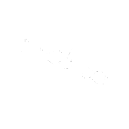 Cc1cn2nc(C3=C\C(=O)N4C=C(N5CCN[C@H](C)C5)C=C\C4=C/C=C/3)cc2cn1